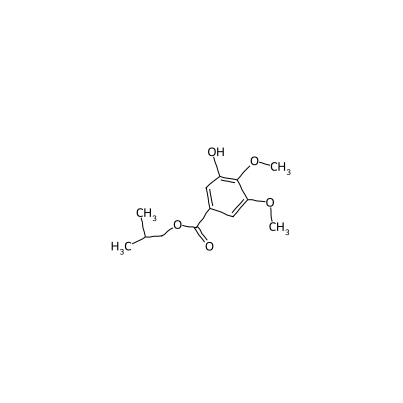 COc1cc(C(=O)OCC(C)C)cc(O)c1OC